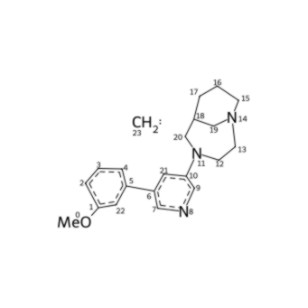 COc1cccc(-c2cncc(N3CCN4CCCC(C4)C3)c2)c1.[CH2]